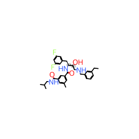 CCc1cccc(CNC[C@@H](O)[C@H](Cc2cc(F)cc(F)c2)NC(=O)c2cc(C)cc(C(=O)NCC(C)C)c2)c1